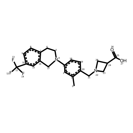 Cc1cc(N2CCc3ccc(C(F)(F)F)cc3C2)ccc1CN1CC(C(=O)O)C1